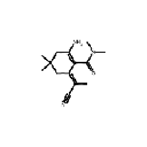 C/C(C#N)=C1/CC(C)(C)CC(N)=C1C(=O)N(C)C